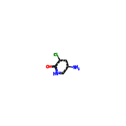 Nc1c[nH]c(=O)c(Cl)c1